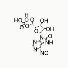 O=Nc1ncnc2c1[nH]c(=O)n2[C@@H]1O[C@H](C(=O)OP(=O)(O)O)[C@@H](O)[C@H]1O